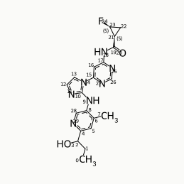 CCC(O)c1cc(C)c(Nc2nccn2-c2cc(NC(=O)[C@@H]3C[C@@H]3F)ncn2)cn1